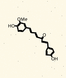 COc1cc(C=CC=CC(=O)C=Cc2ccc(O)cc2)ccc1O